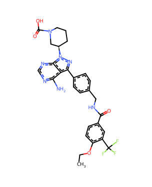 CCOc1ccc(C(=O)NCc2ccc(-c3nn([C@@H]4CCCN(C(=O)O)C4)c4ncnc(N)c34)cc2)cc1C(F)(F)F